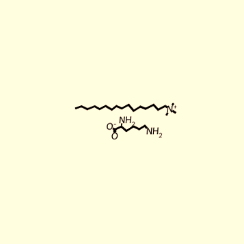 CCCCCCCCCCCCCCCC[N+](C)(C)C.NCCCC[C@H](N)C(=O)[O-]